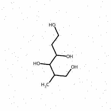 CC(CO)C(O)C(O)CCO